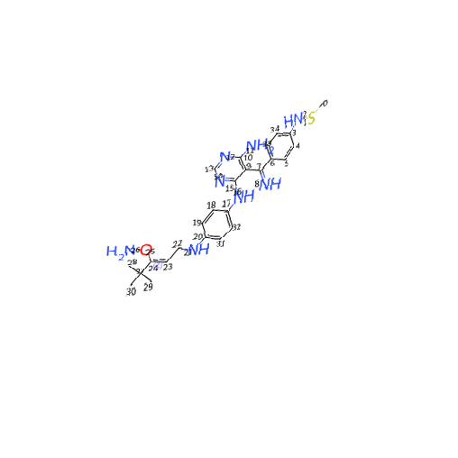 CSNc1ccc(C(=N)c2c(N)ncnc2Nc2ccc(NC/C=C(\ON)C(C)(C)C)cc2)cc1